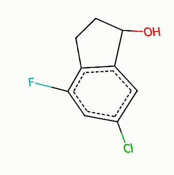 OC1CCc2c(F)cc(Cl)cc21